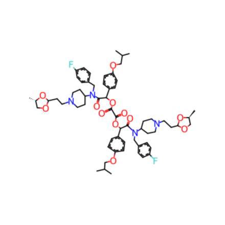 CC(C)COc1ccc(C(OC(=O)C(=O)OC(C(=O)N(Cc2ccc(F)cc2)C2CCN(CCC3OC[C@H](C)O3)CC2)c2ccc(OCC(C)C)cc2)C(=O)N(Cc2ccc(F)cc2)C2CCN(CCC3OC[C@H](C)O3)CC2)cc1